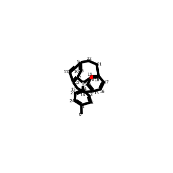 Cc1ccc(I(C)c2cc3ccc2CCc2ccc(cc2)CC3)cc1